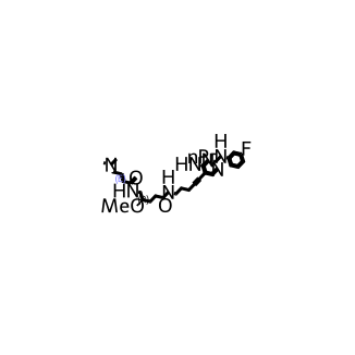 CCCNc1nc(Nc2cccc(F)c2)ncc1C#CCCCNC(=O)CC[C@H](CNC(=O)/C=C/CN(C)C)OC